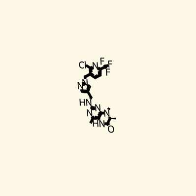 Cc1nc(NCc2cnn(Cc3ccc(C(F)(F)F)nc3Cl)c2)nc2c1NC(=O)[C@H](C)N2C